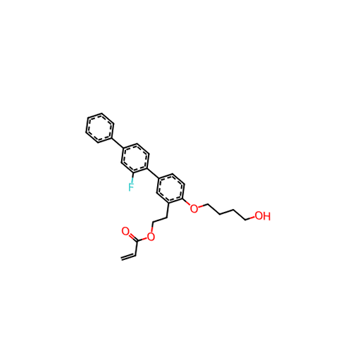 C=CC(=O)OCCc1cc(-c2ccc(-c3ccccc3)cc2F)ccc1OCCCCO